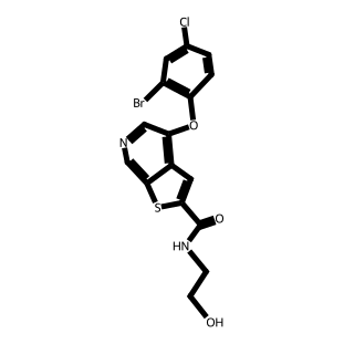 O=C(NCCO)c1cc2c(Oc3ccc(Cl)cc3Br)cncc2s1